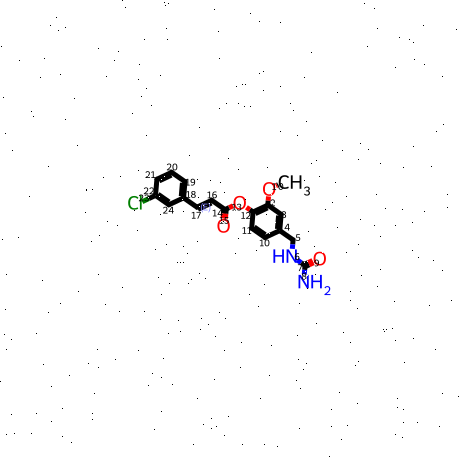 COc1cc(CNC(N)=O)ccc1OC(=O)/C=C/c1cccc(Cl)c1